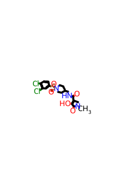 CN1CC(C(=O)NCC2CCN(S(=O)(=O)c3ccc(Cl)c(Cl)c3)CC2)=C(O)C1=O